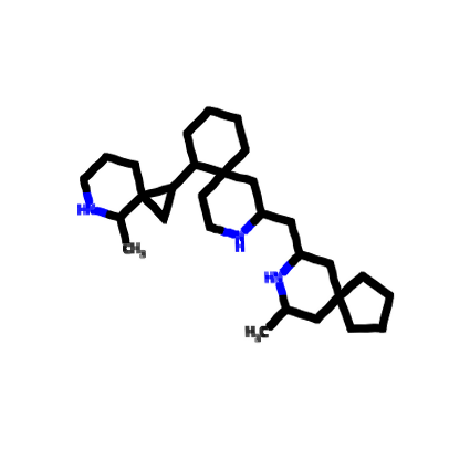 CC1CC2(CCCC2)CC(CC2CC3(CCCCC3C3CC34CCCNC4C)CCN2)N1